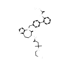 CNC(=O)Nc1ccccc1-c1ccc(CN2C(=O)[C@H](NC(=O)CC(C)(C)NC[C@@H](C)O)CCc3[nH]ccc32)cc1